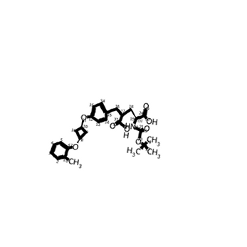 Cc1ccccc1O[C@H]1C[C@H](Oc2ccc(CC(C[C@H](NC(=O)OC(C)(C)C)C(=O)O)C(=O)O)cc2)C1